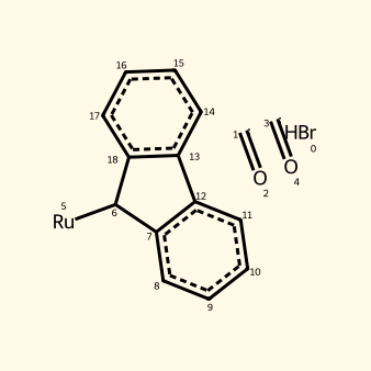 Br.[C]=O.[C]=O.[Ru][CH]1c2ccccc2-c2ccccc21